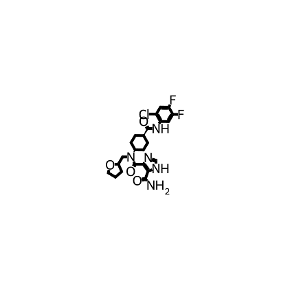 NC(=O)c1[nH]cnc1C(=O)N(CC1CCCO1)[C@H]1CC[C@H](C(=O)Nc2cc(F)c(F)cc2Cl)CC1